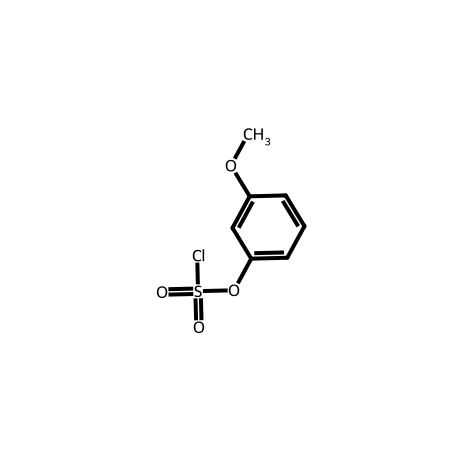 COc1cccc(OS(=O)(=O)Cl)c1